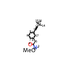 CON(C)C(=O)Cc1cccc(C#C[Si](C)(C)C)c1